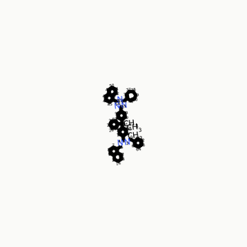 C/C(=N\C(=N/Cc1cccc2c1C=CCC2)c1ccc(C(C)(c2ccccc2)c2ccc(-c3nc(C4=CCCCC=C4)nc(-c4cccc5ccccc45)n3)cc2)c(C)c1)c1ccccc1